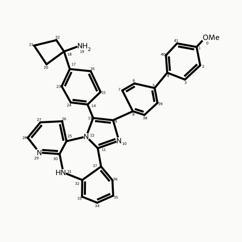 COc1ccc(-c2ccc(-c3nc4n(c3-c3ccc(C5(N)CCC5)cc3)-c3cccnc3Nc3ccccc3-4)cc2)cc1